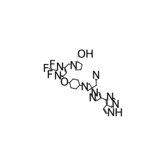 N#CCC1(n2cc(-c3ncnc4[nH]ccc34)cn2)CN(C2CCC(Oc3cc(CN4CCC[C@H]4CO)nc(C(F)(F)F)n3)CC2)C1